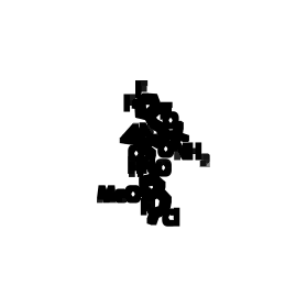 COc1cc(C(=O)NC[C@](O)(c2cc3c(c(-c4cc(F)c(F)cc4F)n2)OC[C@]3(C)C(N)=O)C2CC2)cc2cc(Cl)c(C)nc12